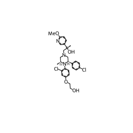 COc1ccc([C@](C)(O)CN2C[C@H](C)N(c3ccc(OCCO)cc3Cl)[C@H](c3ccc(Cl)cc3)C2)cn1